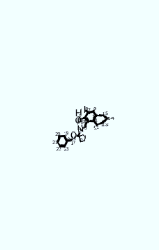 O=C(NCc1c(O)c(I)cc2c1CCCC2)OCc1ccccc1